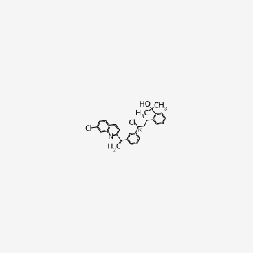 C=C(c1cccc([C@@H](Cl)CCc2ccccc2C(C)(C)O)c1)c1ccc2ccc(Cl)cc2n1